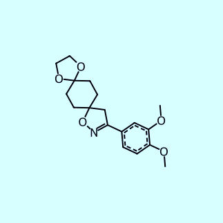 COc1ccc(C2=NOC3(CCC4(CC3)OCCO4)C2)cc1OC